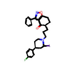 O=C1c2c(-c3ccccc3)noc2CCC1CCCN1CCC(c2ccc(F)cc2)CC1I